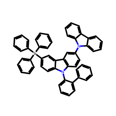 c1ccc(-c2ccccc2-n2c3ccc(-n4c5ccccc5c5ccccc54)cc3c3cc([Si](c4ccccc4)(c4ccccc4)c4ccccc4)ccc32)cc1